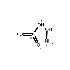 NO.O=[SH](=O)O